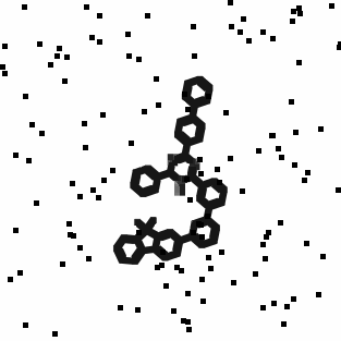 CC1(C)c2ccccc2-c2ccc(-c3cccc(-c4cccc(C5=NC(c6ccc(-c7ccccc7)cc6)=NC(c6ccccc6)N5)c4)c3)cc21